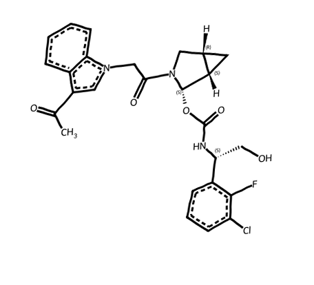 CC(=O)c1cn(CC(=O)N2C[C@@H]3C[C@@H]3[C@@H]2OC(=O)N[C@H](CO)c2cccc(Cl)c2F)c2ccccc12